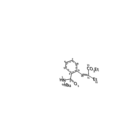 CCCCNC(=O)c1ccccc1C=C(CC)C(=O)OCC